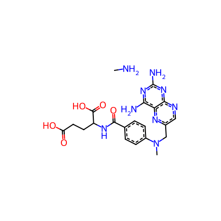 CN.CN(Cc1cnc2nc(N)nc(N)c2n1)c1ccc(C(=O)NC(CCC(=O)O)C(=O)O)cc1